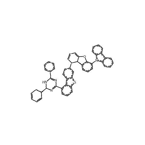 C1=CCC(C2N=C(c3cccc4sc5cc(C6C=CC=C7Oc8c(cccc8-n8c9ccccc9c9ccccc98)C76)ccc5c34)N=C(c3ccccc3)N2)C=C1